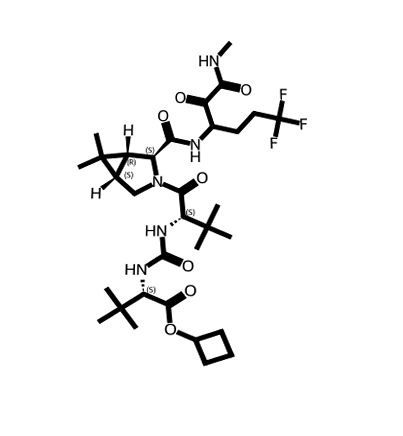 CNC(=O)C(=O)C(CCC(F)(F)F)NC(=O)[C@@H]1[C@@H]2[C@H](CN1C(=O)[C@@H](NC(=O)N[C@H](C(=O)OC1CCC1)C(C)(C)C)C(C)(C)C)C2(C)C